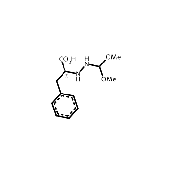 COC(NN[C@@H](Cc1ccccc1)C(=O)O)OC